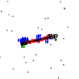 CN(CC=O)CC(=O)NCCOCCOCCNC(=O)NCCOCCOCCOCCOc1cccc(-c2nc(NC(=N)N)nc3ccc(Cl)cc23)c1